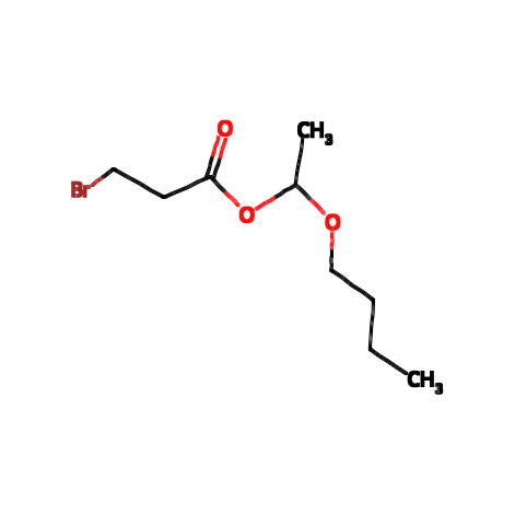 CCCCOC(C)OC(=O)CCBr